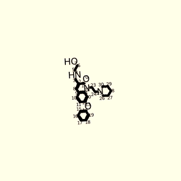 O=c1c(CNCCO)cc2ccc(Oc3ccccc3)cc2n1CCN1CCCCC1